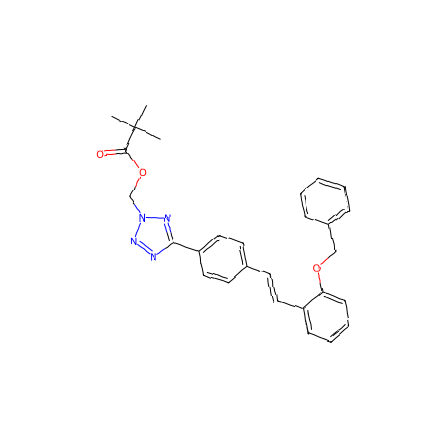 CC(C)(C)C(=O)OCn1nnc(-c2ccc(C=Cc3ccccc3OCc3ccccc3)cc2)n1